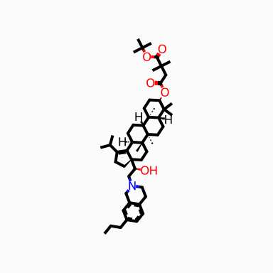 CCCc1ccc2c(c1)CN(C[C@H](O)[C@]13CCC(C(C)C)=C1[C@H]1CC[C@@H]4[C@@]5(C)CC[C@H](OC(=O)CC(C)(C)C(=O)OC(C)(C)C)C(C)(C)[C@@H]5CC[C@@]4(C)[C@]1(C)CC3)CC2